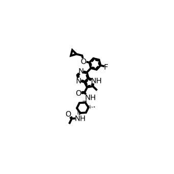 CC(=O)N[C@@H]1CC[C@H](NC(=O)c2c(C)[nH]c3c(-c4cc(F)ccc4OCC4CC4)ncnc23)[C@H](C)C1